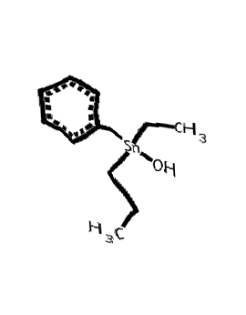 CC[CH2][Sn]([OH])([CH2]C)[c]1ccccc1